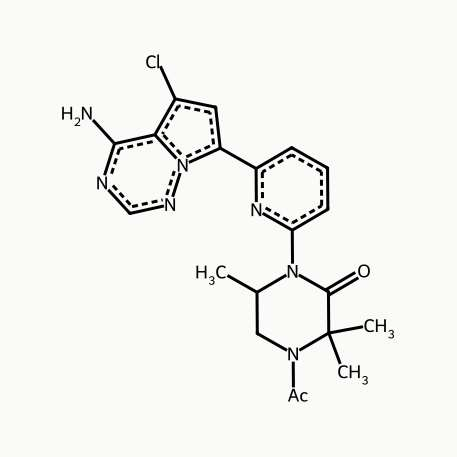 CC(=O)N1CC(C)N(c2cccc(-c3cc(Cl)c4c(N)ncnn34)n2)C(=O)C1(C)C